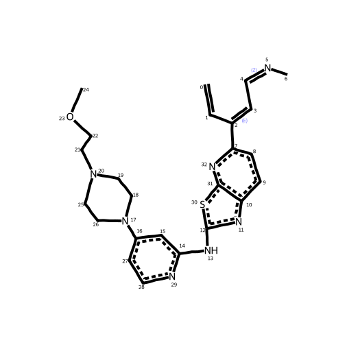 C=C/C(=C\C=N/C)c1ccc2nc(Nc3cc(N4CCN(CCOC)CC4)ccn3)sc2n1